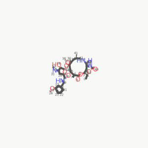 CC[C@H]1OC(=O)C(C)C(=O)[C@H](C)[C@@H](O[C@@H]2OC(CNCc3cccc(OC)c3)CC(N(C)C)C2O)[C@](C)(OC)C[C@@H](C)CN[C@H](C)[C@H]2NC(=O)O[C@@]21C